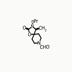 C=C1N(CCC)C(=O)OC12CCN(C=O)CC2